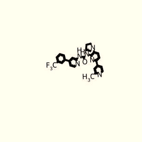 Cc1cc(-c2ccc3c(n2)N(C(=O)Nc2cc(-c4cccc(C(F)(F)F)c4)ccn2)[C@H]2CCN3C2)ccn1